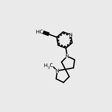 C#Cc1cncc(N2CCC3(CCCN3C)C2)c1